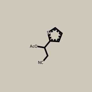 CC(=O)OC(CC#N)c1cccs1